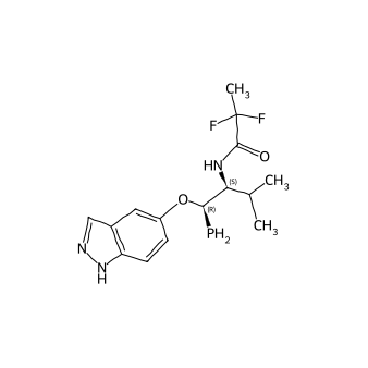 CC(C)[C@H](NC(=O)C(C)(F)F)[C@@H](P)Oc1ccc2[nH]ncc2c1